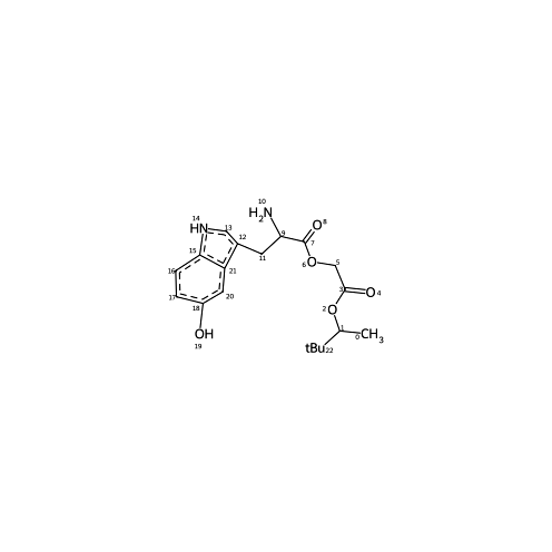 CC(OC(=O)COC(=O)C(N)Cc1c[nH]c2ccc(O)cc12)C(C)(C)C